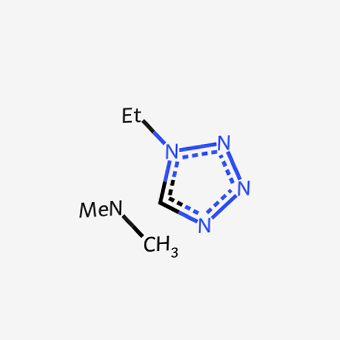 CCn1cnnn1.CNC